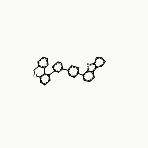 c1cc(-c2ccc(-c3cccc4c3sc3ccccc34)cc2)cc(-c2cccc3c2-c2ccccc2CO3)c1